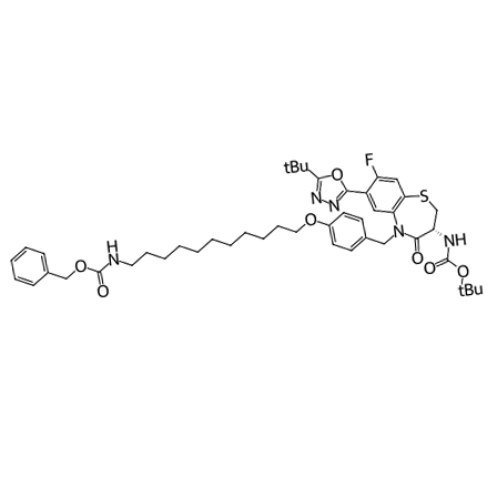 CC(C)(C)OC(=O)N[C@H]1CSc2cc(F)c(-c3nnc(C(C)(C)C)o3)cc2N(Cc2ccc(OCCCCCCCCCCCNC(=O)OCc3ccccc3)cc2)C1=O